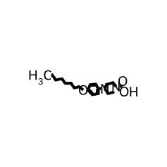 CCCCCCCCOc1ccc(N2CCN(C(=O)O)CC2)cc1